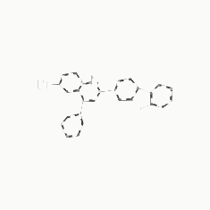 Brc1ccc2nc(-c3ccc4c(c3)Cc3ccccc3-4)cc(-c3ccccc3)c2c1